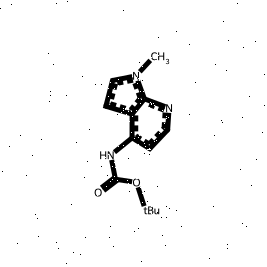 Cn1ccc2c(NC(=O)OC(C)(C)C)ccnc21